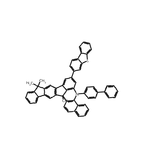 CC1(C)c2ccccc2-c2cc3c(cc21)-c1cc(-c2ccc4c(c2)sc2ccccc24)cc2c1C3(C)c1ccc3ccccc3c1N2c1ccc(-c2ccccc2)cc1